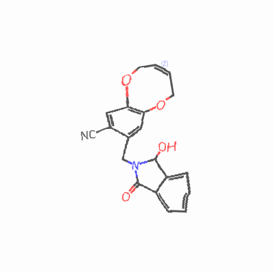 N#Cc1cc2c(cc1CN1C(=O)c3ccccc3C1O)OC/C=C\CO2